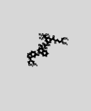 CCN(C)CCNC(=O)c1nc(NC(=O)N[C@@]2(C=O)C=C[C@@H](Oc3ccc4nnc(N(CC)CC)n4c3)c3ccccc32)cc(C(C)(C)C)n1